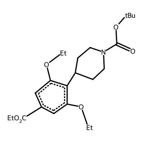 CCOC(=O)c1cc(OCC)c(C2CCN(C(=O)OC(C)(C)C)CC2)c(OCC)c1